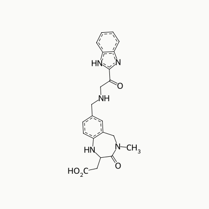 CN1Cc2cc(CNCC(=O)c3nc4ccccc4[nH]3)ccc2NC(CC(=O)O)C1=O